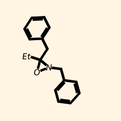 CCC1(Cc2ccccc2)ON1Cc1ccccc1